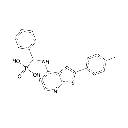 Cc1ccc(-c2cc3c(NC(c4ccccc4)P(=O)(O)O)ncnc3s2)cc1